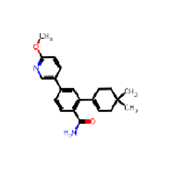 COc1ccc(-c2ccc(C(N)=O)c(C3=CCC(C)(C)CC3)c2)cn1